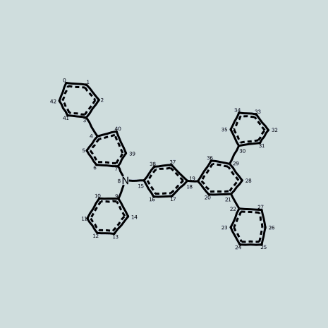 c1ccc(-c2ccc(N(c3ccccc3)c3ccc(-c4cc(-c5ccccc5)cc(-c5ccccc5)c4)cc3)cc2)cc1